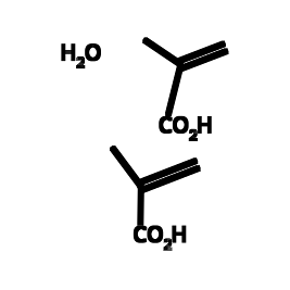 C=C(C)C(=O)O.C=C(C)C(=O)O.O